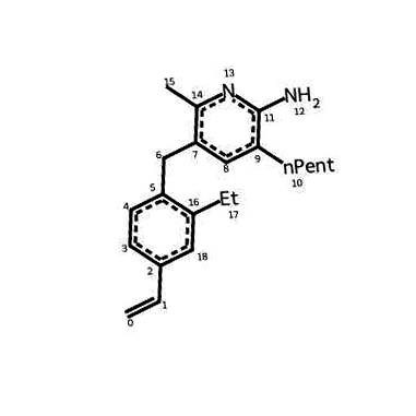 C=Cc1ccc(Cc2cc(CCCCC)c(N)nc2C)c(CC)c1